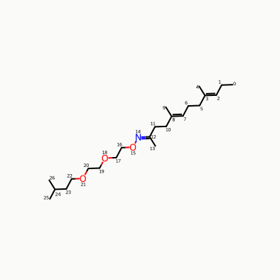 CC/C=C(\C)CC/C=C(\C)CC/C(C)=N/OCCOCCOCCC(C)C